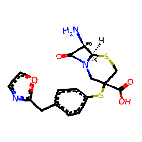 N[C@@H]1C(=O)N2CC(Sc3ccc(Cc4ncco4)cc3)(C(=O)O)CS[C@H]12